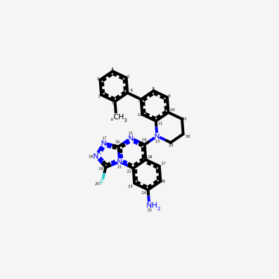 Cc1ccccc1-c1ccc2c(c1)N(c1nc3nnc(F)n3c3cc(N)ccc13)CCC2